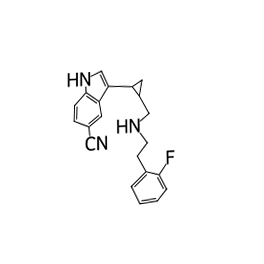 N#Cc1ccc2[nH]cc(C3CC3CNCCc3ccccc3F)c2c1